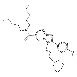 CCCCCN(CCCCC)C(=O)c1ccn2nc(-c3ccc(OC)cc3)c(/C=C/CN3CCCCC3)c2c1